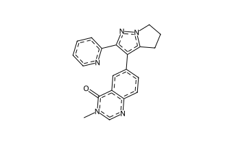 Cn1cnc2ccc(-c3c(-c4ccccn4)nn4c3CCC4)cc2c1=O